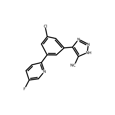 N#Cc1[nH]nnc1-c1cc(Cl)cc(-c2ccc(F)cn2)c1